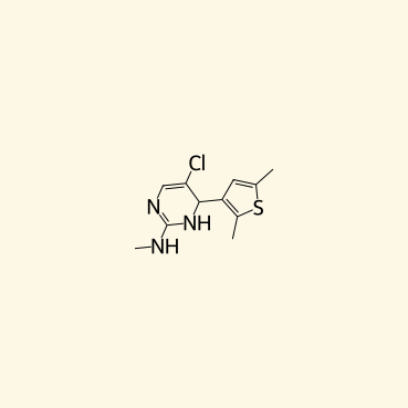 CNC1=NC=C(Cl)C(c2cc(C)sc2C)N1